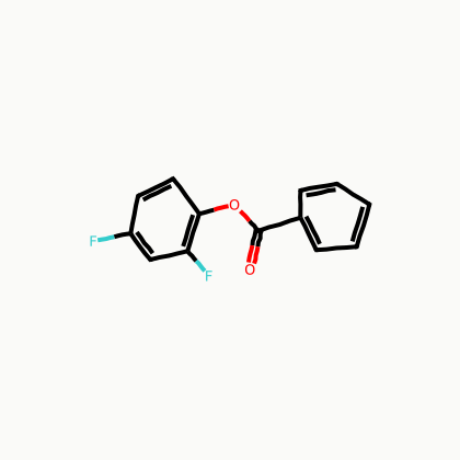 O=C(Oc1ccc(F)cc1F)c1ccccc1